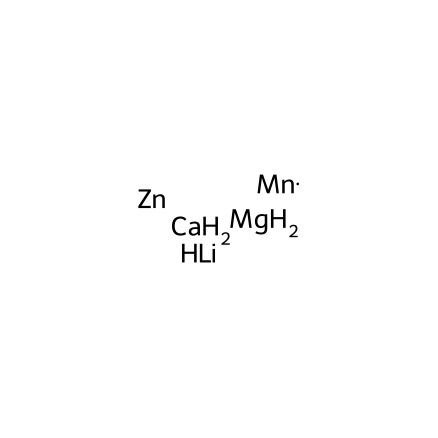 [CaH2].[LiH].[MgH2].[Mn].[Zn]